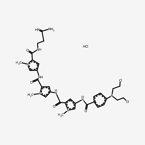 Cl.Cn1cc(NC(=O)c2cc(NC(=O)c3cc(NC(=O)c4ccc(N(CCCl)CCCl)cc4)cn3C)cn2C)cc1C(=O)NCCC(=N)N